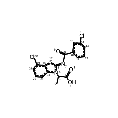 CC(C(=O)O)n1/c(=N/C(=O)c2cccc(Cl)c2)sc2c(Cl)cccc21